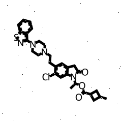 CC1CC(C(=O)OC(C)N2C(=O)Cc3cc(CCN4CCN(c5nsc6ccccc56)CC4)c(Cl)cc32)C1